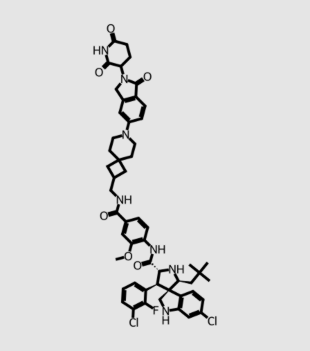 COc1cc(C(=O)NCC2CC3(CCN(c4ccc5c(c4)CN(C4CCC(=O)NC4=O)C5=O)CC3)C2)ccc1NC(=O)[C@@H]1N[C@@H](CC(C)(C)C)[C@@]2(CNc3cc(Cl)ccc32)[C@H]1c1cccc(Cl)c1F